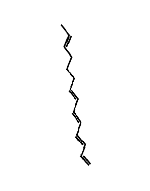 C=CC=CC=CC=CCCCC=CC